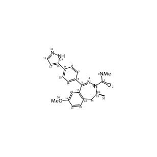 CNC(=O)N1N=C(c2ccc(-c3ccn[nH]3)cc2)c2cc(OC)ccc2C[C@@H]1C